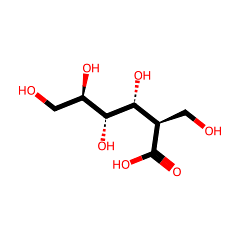 O=C(O)[C@H](CO)[C@@H](O)[C@H](O)[C@H](O)CO